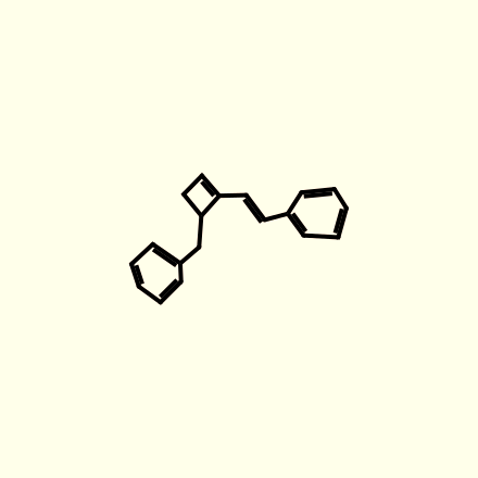 C(=Cc1ccccc1)C1=CCC1Cc1ccccc1